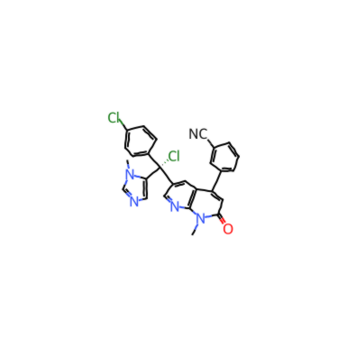 Cn1cncc1[C@@](Cl)(c1ccc(Cl)cc1)c1cnc2c(c1)c(-c1cccc(C#N)c1)cc(=O)n2C